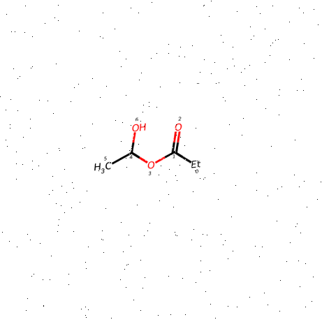 CCC(=O)OC(C)O